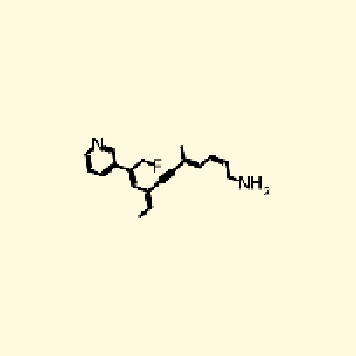 C/C=C(C#C/C(C)=C/C=C\CN)\C=C(/CF)c1cccnc1